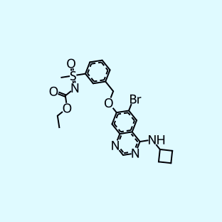 CCOC(=O)N=S(C)(=O)c1cccc(COc2cc3ncnc(NC4CCC4)c3cc2Br)c1